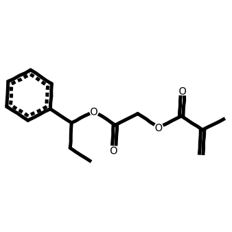 C=C(C)C(=O)OCC(=O)OC(CC)c1ccccc1